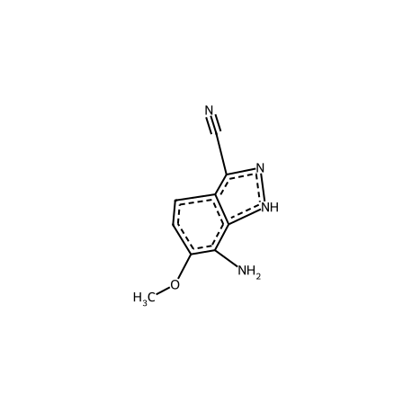 COc1ccc2c(C#N)n[nH]c2c1N